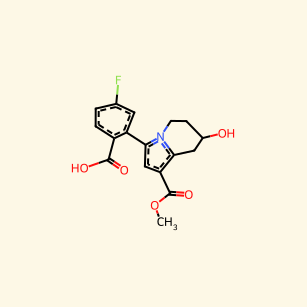 COC(=O)c1cc(-c2cc(F)ccc2C(=O)O)n2c1CC(O)CC2